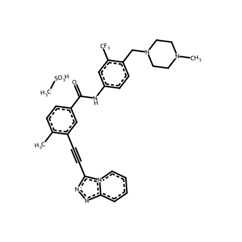 CS(=O)(=O)O.Cc1ccc(C(=O)Nc2ccc(CN3CCN(C)CC3)c(C(F)(F)F)c2)cc1C#Cc1nnc2ccccn12